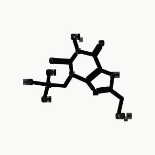 Cn1c(=O)c2[nH]c(CC(=O)O)nc2n(C[Si](O)(O)O)c1=O